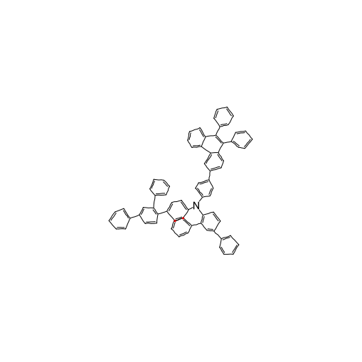 c1ccc(-c2ccc(-c3ccc(N(c4ccc(-c5ccc6c(-c7ccccc7)c(-c7ccccc7)c7ccccc7c6c5)cc4)c4ccc(-c5ccccc5)cc4-c4ccccc4)cc3)c(-c3ccccc3)c2)cc1